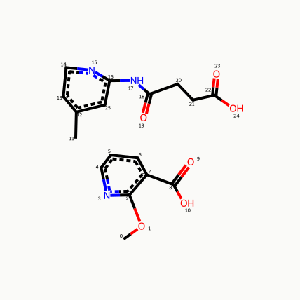 COc1ncccc1C(=O)O.Cc1ccnc(NC(=O)CCC(=O)O)c1